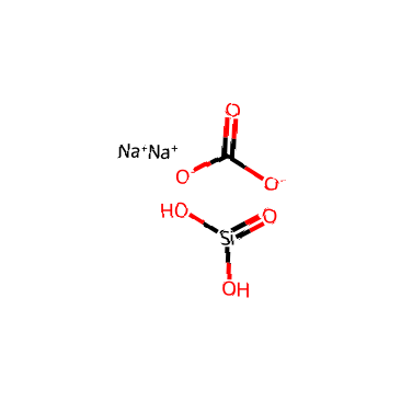 O=C([O-])[O-].O=[Si](O)O.[Na+].[Na+]